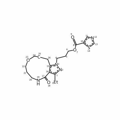 CCc1nn(CCCOC(=O)c2cncs2)c2c1C(=O)NCCCOCCC2